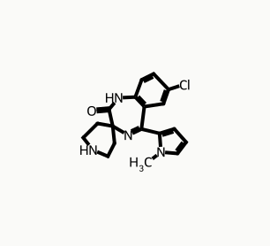 Cn1cccc1C1=NC2(CCNCC2)C(=O)Nc2ccc(Cl)cc21